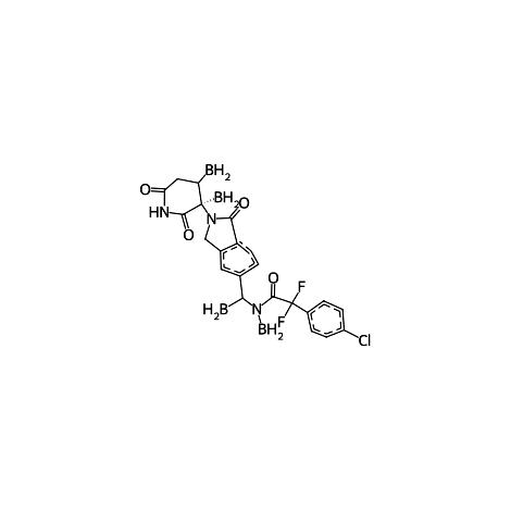 BC(c1ccc2c(c1)CN([C@@]1(B)C(=O)NC(=O)CC1B)C2=O)N(B)C(=O)C(F)(F)c1ccc(Cl)cc1